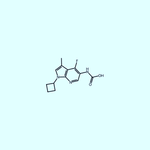 Cc1cn(C2CCC2)c2ncc(NC(=O)O)c(F)c12